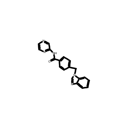 O=C(Nc1cnccn1)c1ccc(Cn2cnc3ccccc32)cc1